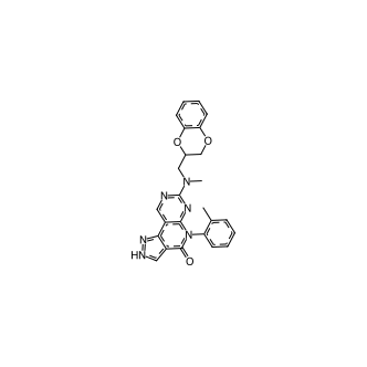 Cc1ccccc1-n1c(=O)c2c[nH]nc2c2cnc(N(C)CC3COc4ccccc4O3)nc21